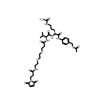 CC(=O)OCc1ccc(NC(=O)[C@H](CCCNC(N)=O)NC(=O)[C@@H](NC(=O)CCOCCOCCNC(=O)CCN2C(=O)C=CC2=O)C(C)C)cc1